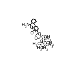 CC(C)[Si](OC[C@@]1(CO)COC[C@H](n2ccc(-c3ccccc3C(N)=O)nc2=O)O1)(C(C)C)C(C)C